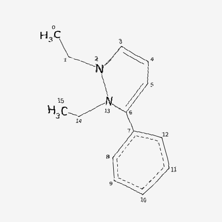 CCN1C=CC=C(c2ccccc2)N1CC